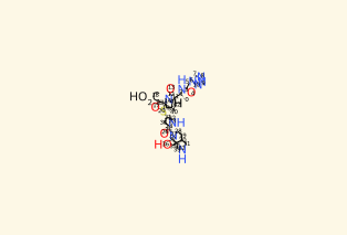 C[C@@H](NC(=O)Cn1cnnn1)[C@H]1C(=O)N2C(C(=O)C(=O)O)=C(S[C@@H]3CN[C@H](C(=O)N4CCC5CNCC5(CO)C4)C3)[C@H](C)[C@H]12